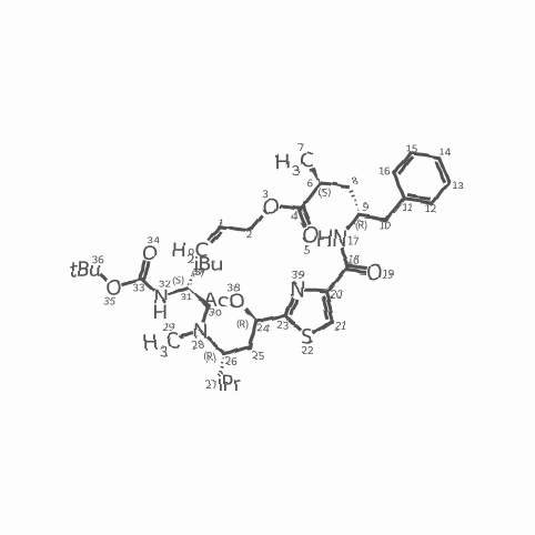 C=CCOC(=O)[C@@H](C)C[C@H](Cc1ccccc1)NC(=O)c1csc([C@@H](C[C@H](C(C)C)N(C)C[C@@H](NC(=O)OC(C)(C)C)[C@@H](C)CC)OC(C)=O)n1